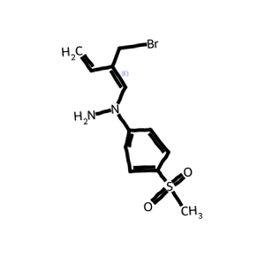 C=C/C(=C\N(N)c1ccc(S(C)(=O)=O)cc1)CBr